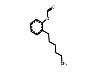 CCCCCCc1ccccc1OC=O